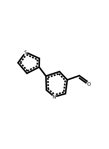 O=Cc1cncc(-c2ccsc2)c1